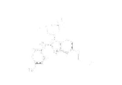 C[C@H]1C[C@H](n2c(Nc3ccc(C#N)cc3)nc3cc(OCC(=O)O)ccc32)CC(C)(C)C1